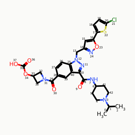 CC(C)N1CCC(NC(=O)c2nn(Cc3cc(-c4ccc(Cl)s4)on3)c3ccc(C(=O)N4CC(OC(=O)O)C4)cc23)CC1